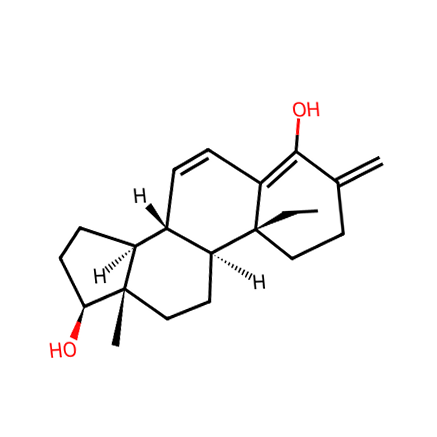 C=C1CC[C@@]2(CC)C(=C1O)C=C[C@@H]1[C@@H]2CC[C@]2(C)[C@@H](O)CC[C@@H]12